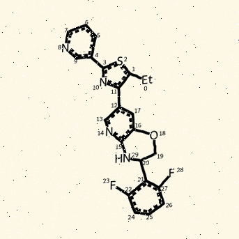 CCc1sc(-c2cccnc2)nc1-c1cnc2c(c1)OCC(c1c(F)cccc1F)N2